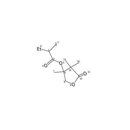 CCC(I)C(=O)OC1(C)COC(=O)C1(C)C